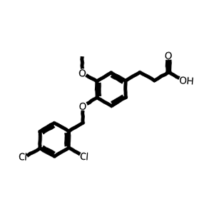 COc1cc(CCC(=O)O)ccc1OCc1ccc(Cl)cc1Cl